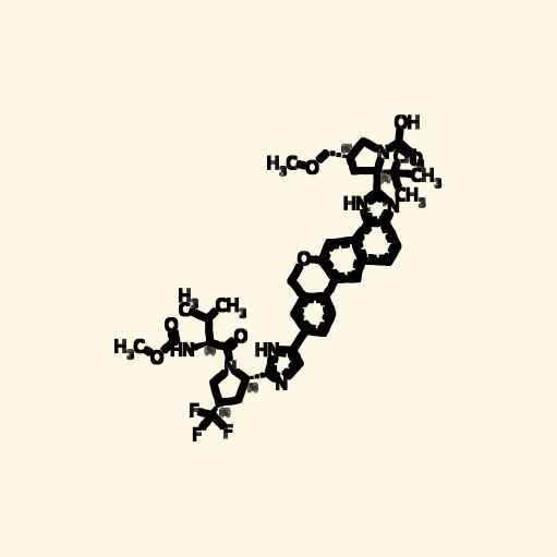 COC[C@@H]1CN(C(=O)O)[C@](c2nc3ccc4cc5c(cc4c3[nH]2)OCc2cc(-c3cnc([C@@H]4C[C@H](C(F)(F)F)CN4C(=O)[C@@H](NC(=O)OC)C(C)C)[nH]3)ccc2-5)(C(C)(C)C)C1